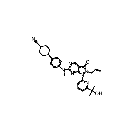 C=CCn1c(=O)c2cnc(Nc3ccc(C4CCC(C#N)CC4)cc3)nc2n1-c1cccc(C(C)(C)O)n1